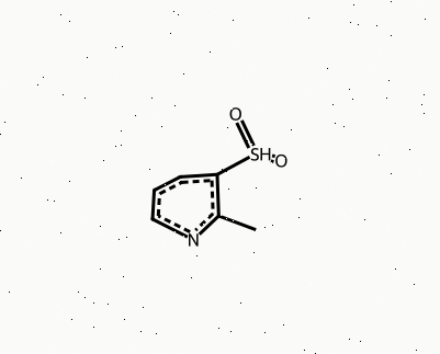 Cc1ncccc1[SH](=O)=O